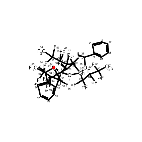 CC([O][Sn]([O][Sn]([O]C(C)c1ccccc1)([C](F)(F)C(F)(F)C(F)(F)C(F)(F)F)[C](F)(F)C(F)(F)C(F)(F)C(F)(F)F)([C](F)(F)C(F)(F)C(F)(F)C(F)(F)F)[C](F)(F)C(F)(F)C(F)(F)C(F)(F)F)c1ccccc1